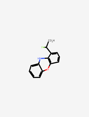 O=C(O)C(F)c1cccc2c1Nc1ccccc1O2